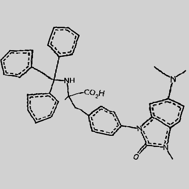 CN(C)c1ccc2c(c1)n(-c1ccc(CC(C)(NC(c3ccccc3)(c3ccccc3)c3ccccc3)C(=O)O)cc1)c(=O)n2C